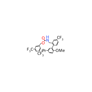 COc1ccc(C(C)C)cc1-c1ccc(C(F)(F)F)cc1CNC(=O)OCc1cc(C(F)(F)F)cc(C(F)(F)F)c1